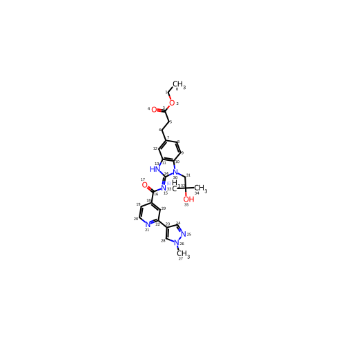 CCOC(=O)CCc1ccc2c(c1)[nH]/c(=N\C(=O)c1ccnc(-c3cnn(C)c3)c1)n2CC(C)(C)O